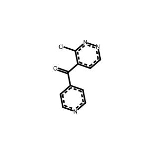 O=C(c1ccncc1)c1ccnnc1Cl